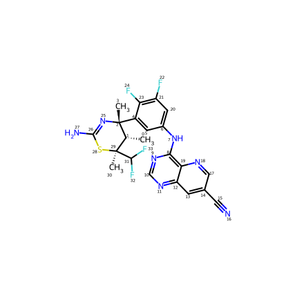 C[C@H]1[C@@](C)(c2cc(Nc3ncnc4cc(C#N)cnc34)cc(F)c2F)N=C(N)S[C@]1(C)C(F)F